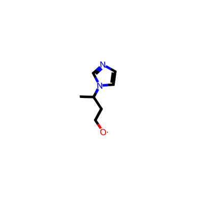 CC(CC[O])n1ccnc1